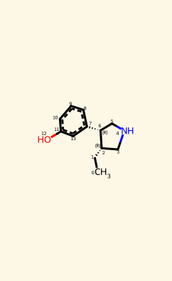 CC[C@H]1CNC[C@H]1c1cccc(O)c1